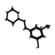 Cc1cc(OCC2COCCO2)nc(O)n1